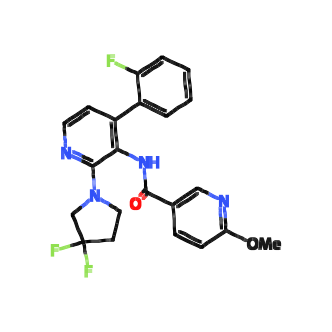 COc1ccc(C(=O)Nc2c(-c3ccccc3F)ccnc2N2CCC(F)(F)C2)cn1